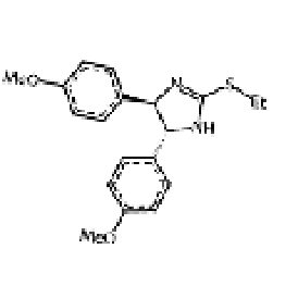 CCSC1=N[C@H](c2ccc(OC)cc2)[C@@H](c2ccc(OC)cc2)N1